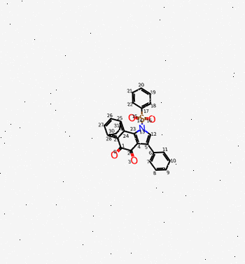 O=C1C(=O)c2c(-c3ccccc3)cn(S(=O)(=O)c3ccccc3)c2-c2c3ccc(c21)CC3